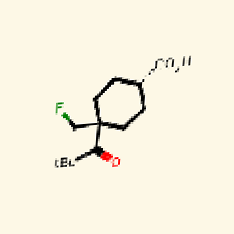 CC(C)(C)C(=O)[C@]1(CF)CC[C@H](C(=O)O)CC1